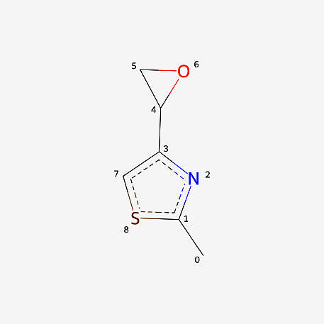 Cc1nc(C2CO2)cs1